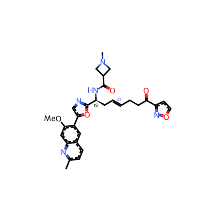 COc1cc2nc(C)ccc2cc1-c1cnc([C@H](C/C=C/CCC(=O)c2ccon2)NC(=O)C2CN(C)C2)o1